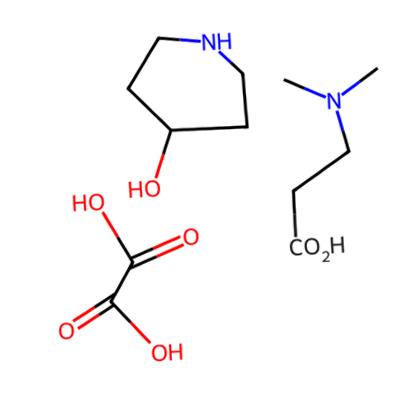 CN(C)CCC(=O)O.O=C(O)C(=O)O.OC1CCNCC1